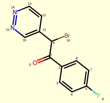 O=C(c1ccc(F)cc1)C(Br)c1ccnnc1